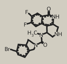 CN(C(=O)N1Cc2ccc(Br)cc2C1)C1CNCc2[nH]c(=O)c3cc(F)c(F)cc3c21